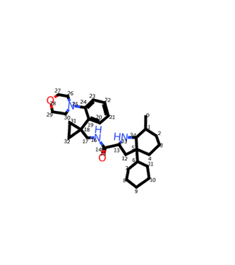 CC1CCCC2(C3CCCCC3)CC(C(=O)NCC3(c4ccccc4N4CCOCC4)CC3)NC12